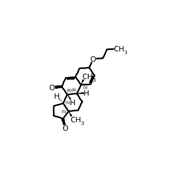 CCCOC1C=C[C@@]2(C)C(=CC(=O)[C@@H]3[C@H]2CC[C@]2(C)C(=O)CC[C@@H]32)C1